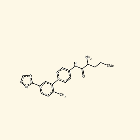 CSCCC(N)C(=O)Nc1ccc(-c2cc(-c3ncco3)ccc2C)cc1